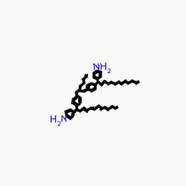 CCCCCCCCCCCCC(c1ccc(N)cc1)c1ccc(CC(CCCCC)Cc2ccc(C(CCCCCCCCCCCC)c3ccc(N)cc3)cc2)cc1